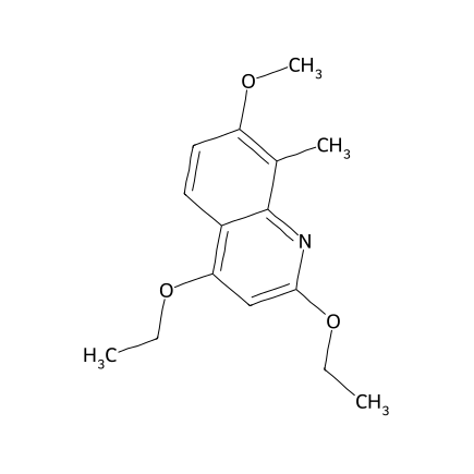 CCOc1cc(OCC)c2ccc(OC)c(C)c2n1